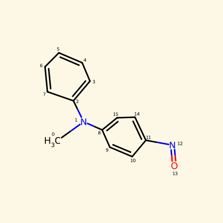 CN(c1ccccc1)c1ccc(N=O)cc1